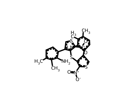 Cc1ccc(-c2csc([N+](=O)[O-])c2Sc2c(-c3ccc(C)c(C)c3N)csc2[N+](=O)[O-])c(N)c1C